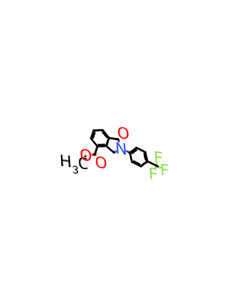 COC(=O)c1cccc2c1CN(c1ccc(C(F)(F)F)cc1)C2=O